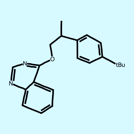 CC(COc1ncnc2ccccc12)c1ccc(C(C)(C)C)cc1